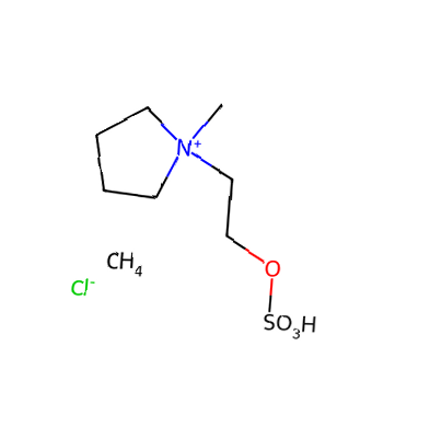 C.C[N+]1(CCOS(=O)(=O)O)CCCC1.[Cl-]